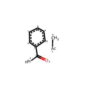 CC(C)=O.CCCC(=O)c1ccccc1